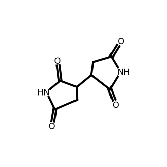 O=C1CC(C2CC(=O)NC2=O)C(=O)N1